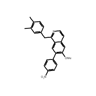 COc1cc2ccnc(Cc3ccc(C)c(C)c3)c2cc1-c1ccc([N+](=O)[O-])cc1